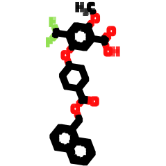 COc1cc(C(F)F)c(OC2CCC(C(=O)OCc3cccc4ccccc34)CC2)cc1C(=O)O